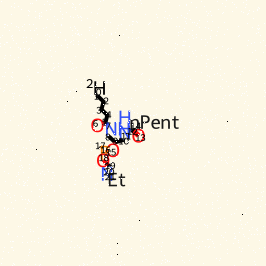 [2H]CCCCC(=O)NCC(CNC(=O)CCCCC)OP(C)O/C=N/CC